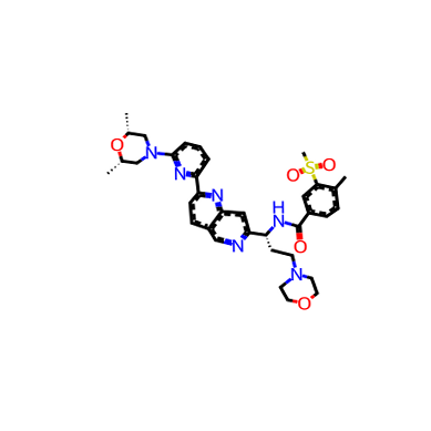 Cc1ccc(C(=O)N[C@H](CCN2CCOCC2)c2cc3nc(-c4cccc(N5C[C@@H](C)O[C@@H](C)C5)n4)ccc3cn2)cc1S(C)(=O)=O